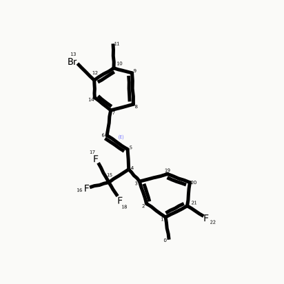 Cc1cc(C(/C=C/c2ccc(C)c(Br)c2)C(F)(F)F)ccc1F